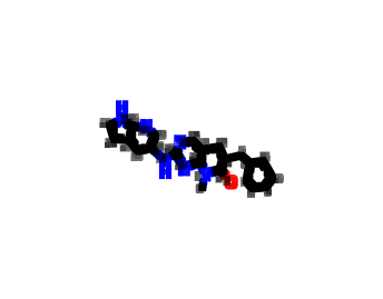 Cn1c(=O)c(Cc2ccccc2)cc2cnc(Nc3cnc4[nH]ccc4c3)nc21